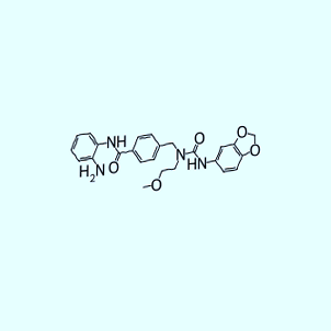 COCCN(Cc1ccc(C(=O)Nc2ccccc2N)cc1)C(=O)Nc1ccc2c(c1)OCO2